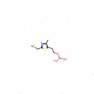 Cc1nc(CC#N)sc1CCON(O)O